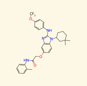 Cc1ccccc1NC(=O)COc1ccc2c(c1)nc(Nc1ccc(OC(F)(F)F)cc1)n2C1CCCC(C)(C)C1